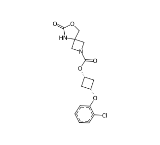 O=C1NC2(CO1)CN(C(=O)O[C@H]1C[C@@H](Oc3ccccc3Cl)C1)C2